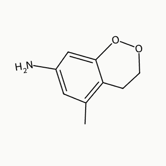 Cc1cc(N)cc2c1CCOO2